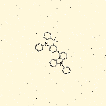 CC1(C)c2ccccc2N(c2ccccc2)c2ccc(-c3cccc4c3c3ccccc3n4-c3ccccc3)cc21